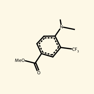 COC(=O)c1ccc(N(C)C)c(C(F)(F)F)c1